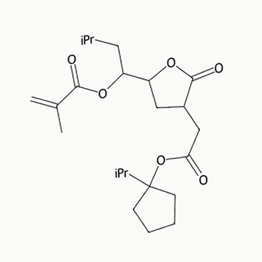 C=C(C)C(=O)OC(CC(C)C)C1CC(CC(=O)OC2(C(C)C)CCCC2)C(=O)O1